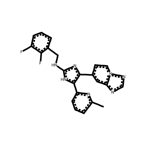 Cc1cccc(-c2[nH]c(NCc3cccc(F)c3F)nc2-c2ccn3ncnc3c2)n1